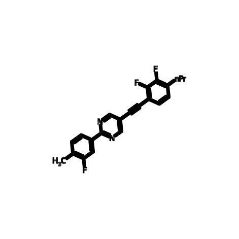 CCCc1ccc(C#Cc2cnc(-c3ccc(C)c(F)c3)nc2)c(F)c1F